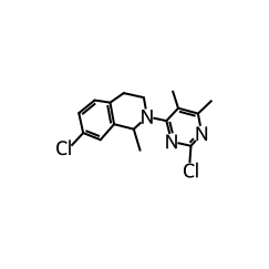 Cc1nc(Cl)nc(N2CCc3ccc(Cl)cc3C2C)c1C